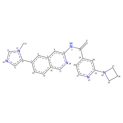 C=C(Nc1cc2cc(-c3cncn3C)ccc2cn1)c1ccnc(N2CCC2)c1